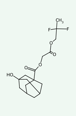 CC(F)(F)COC(=O)COC(=O)C12CC3CC(CC(O)(C3)C1)C2